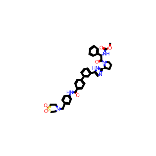 COC(=O)N[C@H](C(=O)N1CCC[C@H]1c1ncc(-c2cccc(-c3ccc(C(=O)Nc4ccc(CN5CCS(=O)(=O)CC5)cc4)cc3)c2)[nH]1)c1ccccc1